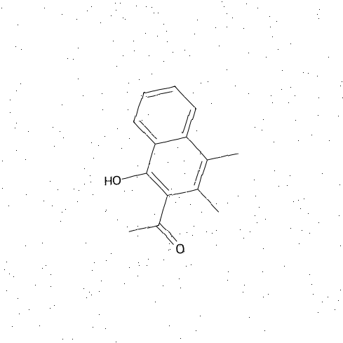 CC(=O)c1c(C)c(C)c2ccccc2c1O